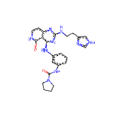 O=C(Nc1cccc(Nc2nc(NCCc3c[nH]cn3)nc3cc[nH]c(=O)c23)c1)N1CCCC1